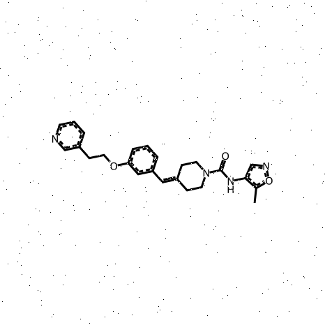 Cc1oncc1NC(=O)N1CCC(=Cc2cccc(OCCc3cccnc3)c2)CC1